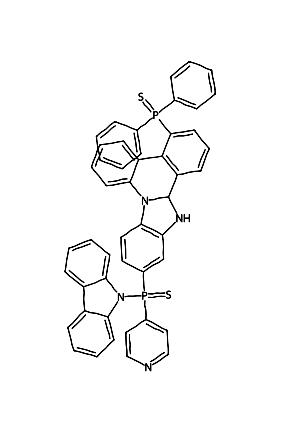 S=P(c1ccccc1)(c1ccccc1)c1cccc2c1-c1ccccc1N1c3ccc(P(=S)(c4ccncc4)n4c5ccccc5c5ccccc54)cc3NC21